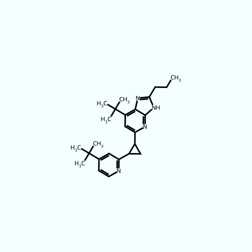 CCCc1nc2c(C(C)(C)C)cc(C3CC3c3cc(C(C)(C)C)ccn3)nc2[nH]1